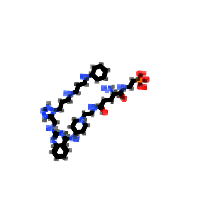 N[C@@H](CCC(=O)NCCN1CCC(Nc2nc(NCc3nnnn3CCCNCCCNC3CCCCC3)nc3ccccc23)CC1)C(=O)NCCP(=O)(O)O